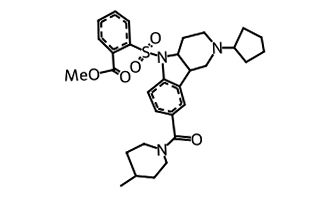 COC(=O)c1ccccc1S(=O)(=O)N1c2ccc(C(=O)N3CCC(C)CC3)cc2C2CN(C3CCCC3)CCC21